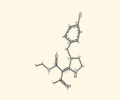 CCOC(=O)/C(C(C)=N)=C1/NCCN1Cc1ccc(Cl)cc1